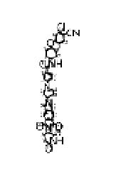 N#Cc1ccc(OC2CCC(NC(=O)c3ccc(N4CCC(N5Cc6cc7c(cc6C5)C(=O)N(C5CCC(=O)NC5=O)C7=O)CC4)cc3)CC2)cc1Cl